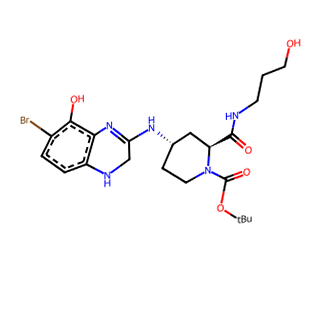 CC(C)(C)OC(=O)N1CC[C@H](NC2=Nc3c(ccc(Br)c3O)NC2)C[C@H]1C(=O)NCCCO